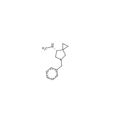 CN[C@H]1CN(Cc2ccccc2)CC12CC2